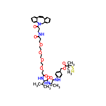 CC(C)C(NC(=O)CCOCCOCCOCCOCCC(=O)NCCC(=O)N1Cc2ccccc2C#Cc2ccccc21)C(=O)N[C@@H](C)C(=O)Nc1ccc(COC(=O)C(C)(C)CS)cc1